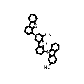 N#Cc1ccc2c3ccccc3n(-c3cccc4c3oc3c(C#N)cc(-c5cccc6c5sc5ccccc56)cc34)c2c1